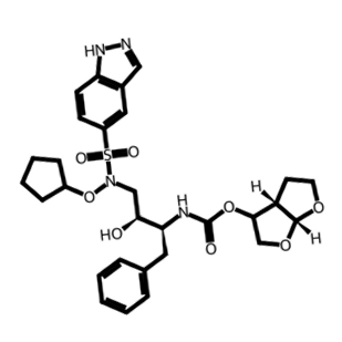 O=C(N[C@@H](Cc1ccccc1)[C@@H](O)CN(OC1CCCC1)S(=O)(=O)c1ccc2[nH]ncc2c1)OC1CO[C@H]2OCC[C@@H]12